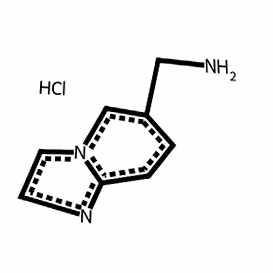 Cl.NCc1ccc2nccn2c1